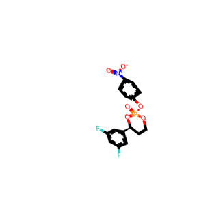 O=[N+]([O-])c1ccc(O[P@]2(=O)OCC[C@@H](c3cc(F)cc(F)c3)O2)cc1